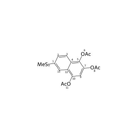 CSc1ccc2c(OC(C)=O)c(OC(C)=O)cc(OC(C)=O)c2c1